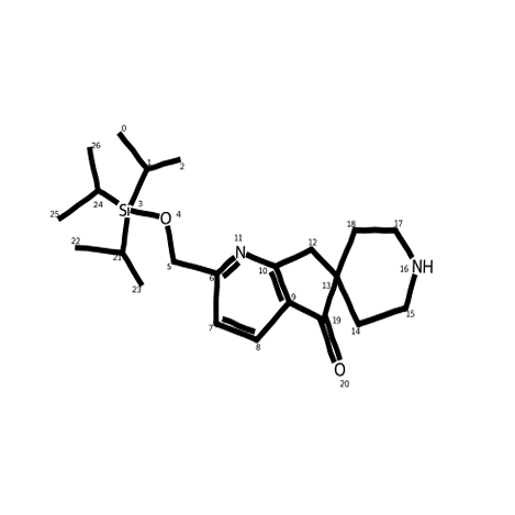 CC(C)[Si](OCc1ccc2c(n1)CC1(CCNCC1)C2=O)(C(C)C)C(C)C